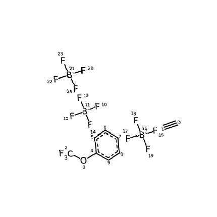 C#C.FC(F)(F)Oc1ccccc1.F[B-](F)(F)F.F[B-](F)(F)F.F[B-](F)(F)F